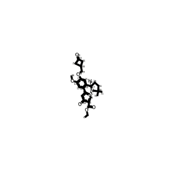 CCOC(=O)c1cn2c(cc1=O)-c1cc(OC)c(OCC3CC(=O)C3)cc1[C@H]1CCC(C)(C)N12